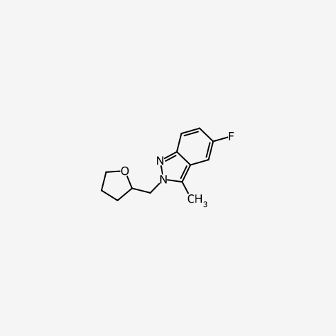 Cc1c2cc(F)ccc2nn1CC1CCCO1